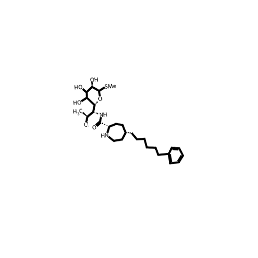 CSC1O[C@H]([C@H](NC(=O)[C@@H]2CC[C@H](CCCCCCc3ccccc3)CCN2)[C@H](C)Cl)C(O)C(O)[C@H]1O